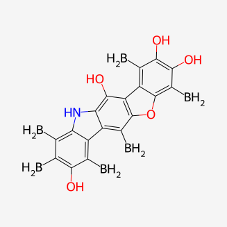 Bc1c(O)c(B)c2c([nH]c3c(O)c4c(oc5c(B)c(O)c(O)c(B)c54)c(B)c32)c1B